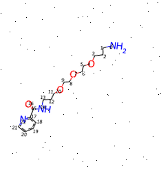 NCCCOCCOCCOCCCNC(=O)c1ccccn1